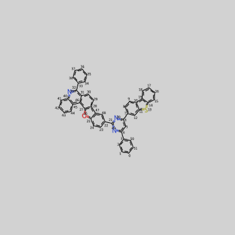 c1ccc(-c2cc(-c3ccc4c(c3)sc3ccccc34)nc(-c3ccc4oc5c(ccc6c(-c7ccccc7)nc7ccccc7c65)c4c3)n2)cc1